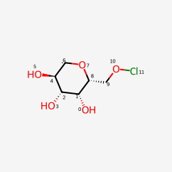 O[C@@H]1[C@H](O)[C@@H](O)[CH]O[C@@H]1COCl